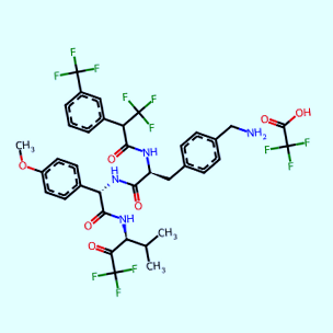 COc1ccc([C@H](NC(=O)[C@H](Cc2ccc(CN)cc2)NC(=O)C(c2cccc(C(F)(F)F)c2)C(F)(F)F)C(=O)N[C@H](C(=O)C(F)(F)F)C(C)C)cc1.O=C(O)C(F)(F)F